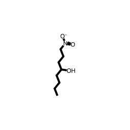 CCCCC(O)CCC[N+](=O)[O-]